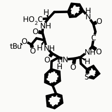 CC(C)(C)OC(=O)C[C@H]1NC(=O)[C@H](Cc2ccc(-c3ccccc3)cc2)NC(=O)[C@@H](Cc2cccs2)NC(=O)CCC(=O)Nc2ccc(cc2)C[C@@H](C(=O)O)NC1=O